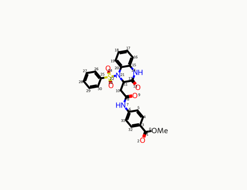 COC(=O)c1ccc(NC(=O)CC2C(=O)Nc3ccccc3N2S(=O)(=O)c2ccccc2)cc1